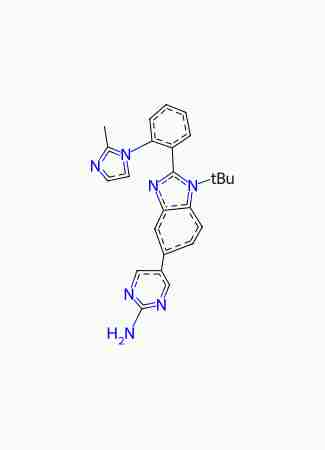 Cc1nccn1-c1ccccc1-c1nc2cc(-c3cnc(N)nc3)ccc2n1C(C)(C)C